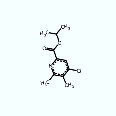 Cc1nc(C(=O)OC(C)C)cc(Cl)c1C